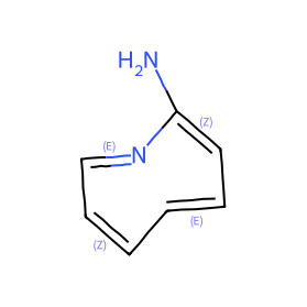 NC1=C/C=C/C=C\C=N\1